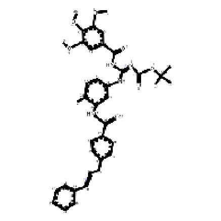 COc1cc(C(=O)N/C(=N/C(=O)OC(C)(C)C)Nc2ccc(C)c(NC(=O)c3ccc(C/C=C/c4ccccc4)cc3)c2)cc(OC)c1OC